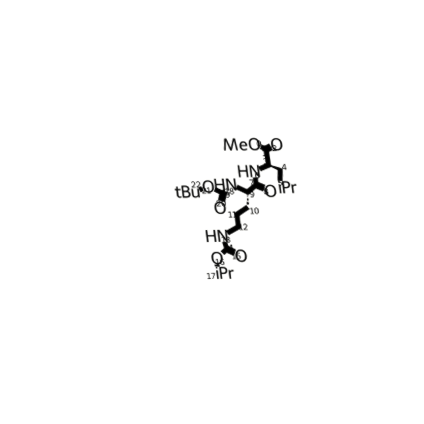 COC(=O)[C@@H](CC(C)C)NC(=O)[C@H](CCCNC(=O)OC(C)C)NC(=O)OC(C)(C)C